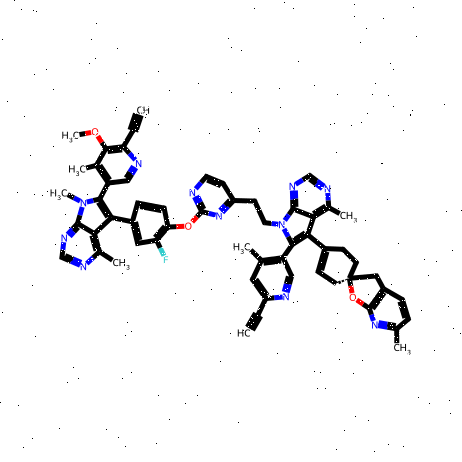 C#Cc1cc(C)c(-c2c(C3=CC[C@]4(CC3)Cc3ccc(C)nc3O4)c3c(C)ncnc3n2CCc2ccnc(Oc3ccc(-c4c(-c5cnc(C#C)c(OC)c5C)n(C)c5ncnc(C)c45)cc3F)n2)cn1